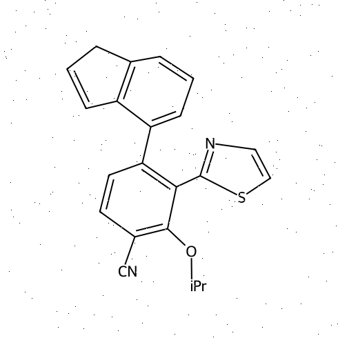 CC(C)Oc1c(C#N)ccc(-c2cccc3c2C=CC3)c1-c1nccs1